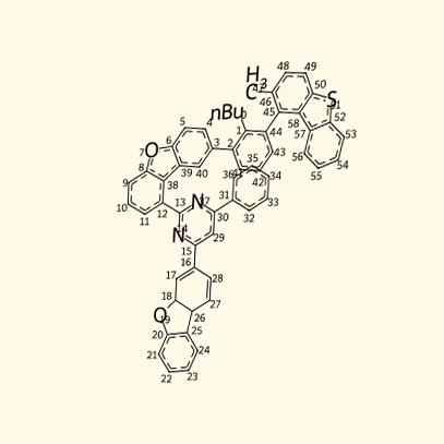 CCCCc1c(-c2ccc3oc4cccc(-c5nc(C6=CC7Oc8ccccc8C7C=C6)cc(-c6ccccc6)n5)c4c3c2)cccc1-c1c(C)ccc2sc3ccccc3c12